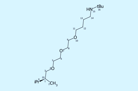 CC(C)[C@H](C)COCCOCCOCCCCNC(C)(C)C